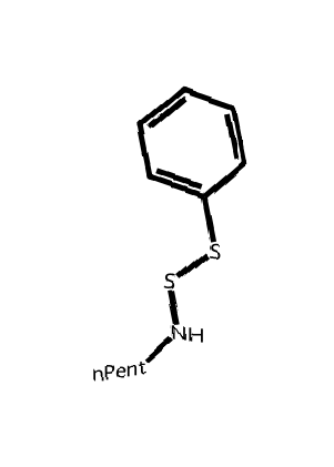 CCCCCNSSc1ccccc1